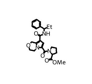 CCC(NC(=O)c1cc(C(=O)N2CCCC2C(=O)OC)n2c1COCC2)c1ccccc1